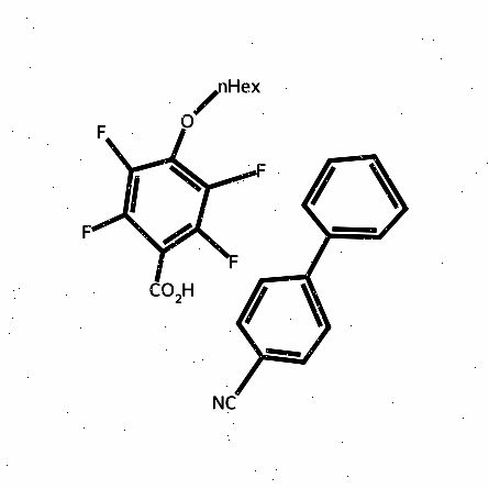 CCCCCCOc1c(F)c(F)c(C(=O)O)c(F)c1F.N#Cc1ccc(-c2ccccc2)cc1